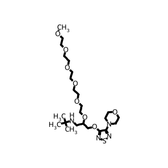 COCCOCCOCCOCCOCCOC(CNC(C)(C)C)COc1nsnc1N1CCOCC1